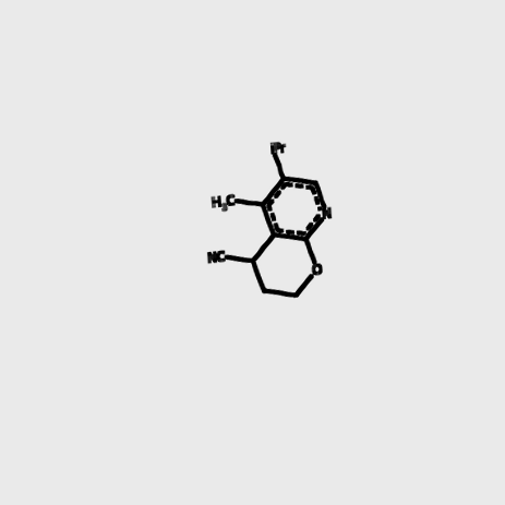 Cc1c(C(C)C)cnc2c1C(C#N)CCO2